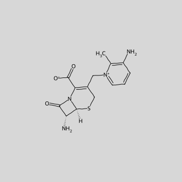 Cc1c(N)ccc[n+]1CC1=C(C(=O)[O-])N2C(=O)[C@@H](N)[C@@H]2SC1